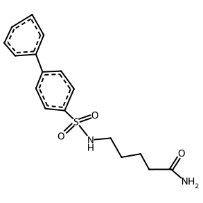 NC(=O)CCCCNS(=O)(=O)c1ccc(-c2ccccc2)cc1